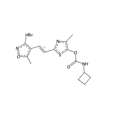 CCCCc1noc(C)c1/C=C/c1nc(C)c(OC(=O)NC2CCC2)s1